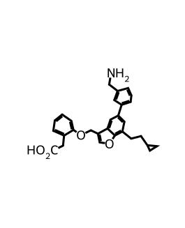 NCc1cccc(-c2cc(CCC3CC3)c3occ(COc4ccccc4CC(=O)O)c3c2)c1